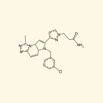 Cc1nnc2n1C1C=C(c3ccn(CCC(N)=O)n3)N(Cc3cccc(Cl)c3)C1C=C2